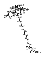 CCCCCNC(=O)CCCCCCCCCCCCCOC1C[C@]2(C)C(O)CC[C@H]2[C@@H]2CCC3CC(=O)CC[C@]3(C)[C@H]12